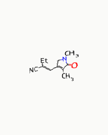 CC/C(C#N)=C\C1=C(C)C(=O)N(C)C1